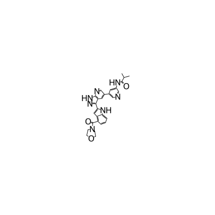 CC(C)C(=O)Nc1cncc(-c2cnc3[nH]nc(-c4cc5c(C(=O)N6CCOCC6)cccc5[nH]4)c3c2)c1